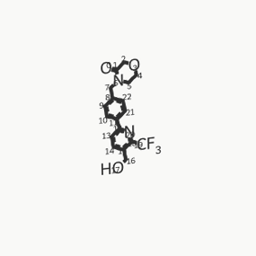 O=C1COCCN1Cc1ccc(-c2ccc(CO)c(C(F)(F)F)n2)cc1